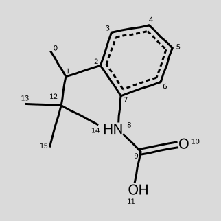 CC(c1ccccc1NC(=O)O)C(C)(C)C